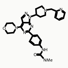 CNC(=O)Nc1ccc(-c2nc(N3CCOCC3)c3cnn(C4CCN(Cc5ccccn5)CC4)c3n2)cc1